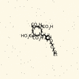 CCOCCOCCOc1ccc(C[C@H](C(=O)O)N2CCN(CC(=O)O)CCN(CC(=O)O)CCN(CC(=O)O)CC2)cn1